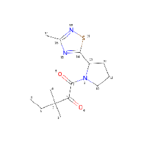 CCC(C)(C)C(=O)C(=O)N1CCCC1c1nc(C)ns1